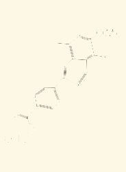 COc1cc(C)c2cc(-c3ccc(C(=O)OC=O)cc3)ccc2c1C